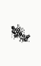 B=c1c(-c2cc3ccccc3c3ccccc23)c2c(B)c(B)c(B)c(B)c2c(-c2ccc(-c3ccc(-n4c(C(B)(B)C(B)(O)O)nc5ccccc54)cc3)cc2)/c1=C(B)/C(B)=C(/B)C